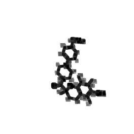 COc1ccc(N2CCN(C(=O)C3(C)CCc4c(C)c(O)c(C)c(C)c4O3)CC2)cc1